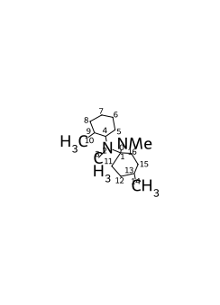 CNC1(N(C)C2CCCCC2C)CCC(C)CC1